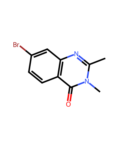 Cc1nc2cc(Br)ccc2c(=O)n1C